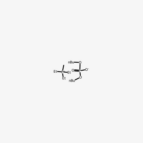 CCCCOP(=O)([O-])OCCCC.CC[P+](C)(CC)CC